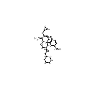 CCc1ccc(OC)cc1C12CCN(CC3CC3)C(C)C1OCC(NCC1CCCCC1)C2